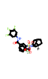 O=C(NC[C@@]1(O)C2CC[C@H]1C[C@H](S(=O)(=O)c1cc(C(=O)Nc3cc(F)c(F)c(F)c3)ccc1Cl)C2)C1=CCCC1